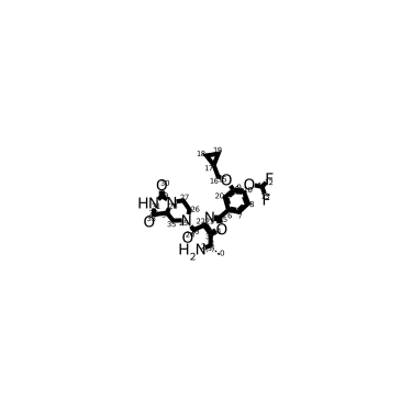 C[C@H](N)c1oc(-c2ccc(OC(F)F)c(OCC3CC3)c2)nc1C(=O)N1CCN2C(=O)NC(=O)C2C1